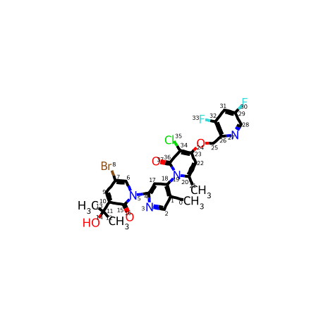 Cc1cnc(-n2cc(Br)cc(C(C)(C)O)c2=O)cc1-n1c(C)cc(OCc2ncc(F)cc2F)c(Cl)c1=O